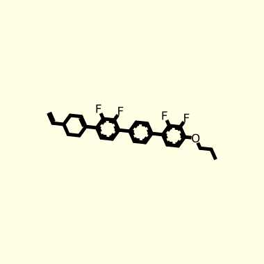 C=CC1CC=C(c2ccc(-c3ccc(-c4ccc(OCCC)c(F)c4F)cc3)c(F)c2F)CC1